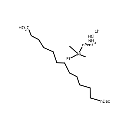 CCCCCCCCCCCCCCCCCCCCCC(=O)O.CCCCC[N+](C)(C)CC.Cl.N.[Cl-]